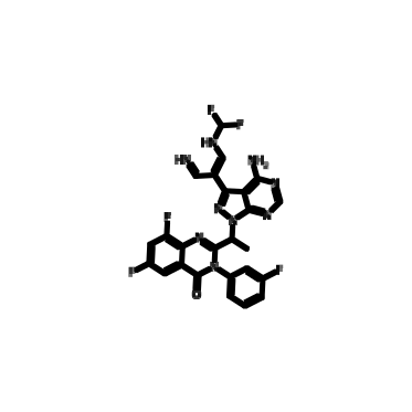 CC(c1nc2c(F)cc(F)cc2c(=O)n1-c1cccc(F)c1)n1nc(/C(C=N)=C/NC(F)F)c2c(N)ncnc21